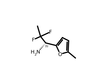 Cc1ccc([C@H](N)C(C)(F)F)o1